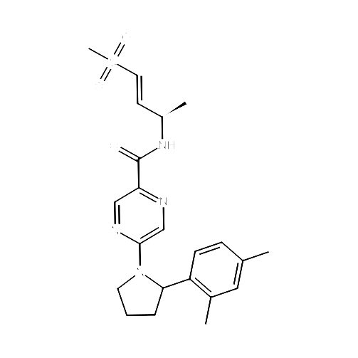 Cc1ccc(C2CCCN2c2cnc(C(=O)N[C@H](C)/C=C/S(C)(=O)=O)cn2)c(C)c1